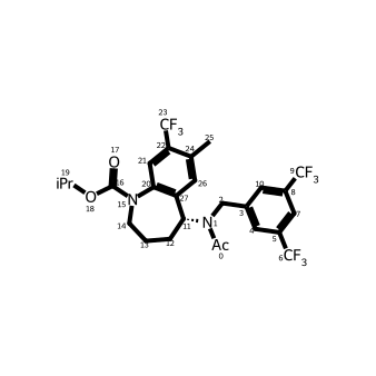 CC(=O)N(Cc1cc(C(F)(F)F)cc(C(F)(F)F)c1)[C@@H]1CCCN(C(=O)OC(C)C)c2cc(C(F)(F)F)c(C)cc21